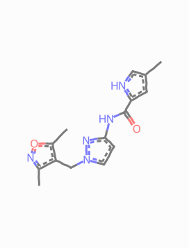 Cc1c[nH]c(C(=O)Nc2ccn(Cc3c(C)noc3C)n2)c1